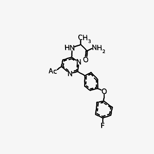 CC(=O)c1cc(NC(C)C(N)=O)nc(-c2ccc(Oc3ccc(F)cc3)cc2)n1